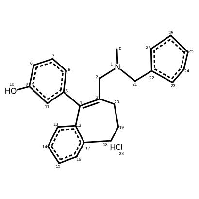 CN(CC1=C(c2cccc(O)c2)c2ccccc2CCC1)Cc1ccccc1.Cl